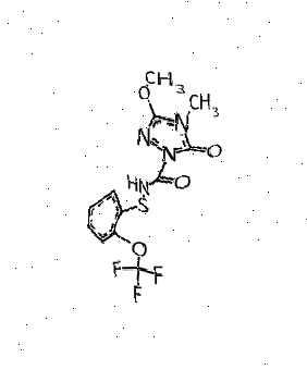 COc1nn(C(=O)NSc2ccccc2OC(F)(F)F)c(=O)n1C